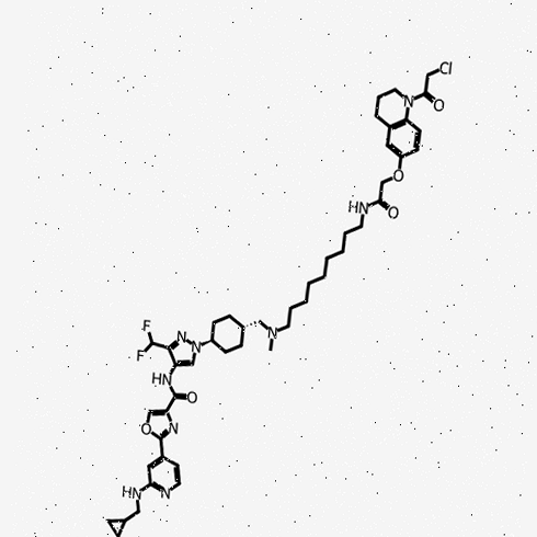 CN(CCCCCCCCCNC(=O)COc1ccc2c(c1)CCCN2C(=O)CCl)C[C@H]1CC[C@H](n2cc(NC(=O)c3coc(-c4ccnc(NCC5CC5)c4)n3)c(C(F)F)n2)CC1